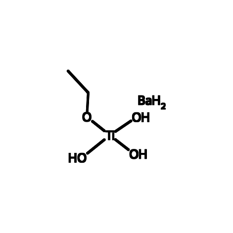 CC[O][Ti]([OH])([OH])[OH].[BaH2]